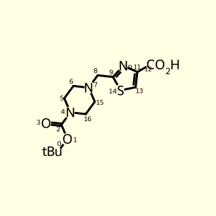 CC(C)(C)OC(=O)N1CCN(Cc2nc(C(=O)O)cs2)CC1